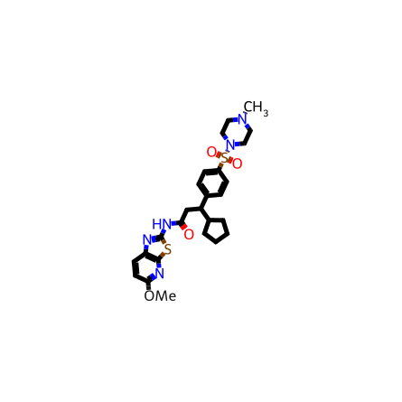 COc1ccc2nc(NC(=O)CC(c3ccc(S(=O)(=O)N4CCN(C)CC4)cc3)C3CCCC3)sc2n1